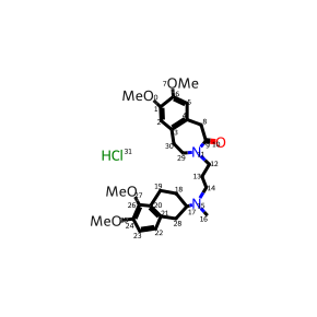 COc1cc2c(cc1OC)CC(=O)N(CCCN(C)C1CCc3c(ccc(OC)c3OC)C1)CC2.Cl